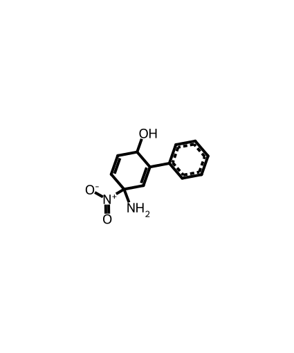 NC1([N+](=O)[O-])C=CC(O)C(c2ccccc2)=C1